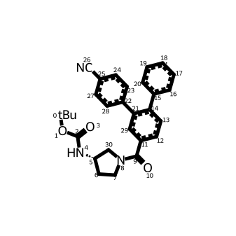 CC(C)(C)OC(=O)N[C@H]1CCN(C(=O)c2ccc(-c3cc[c]cc3)c(-c3ccc(C#N)cc3)c2)C1